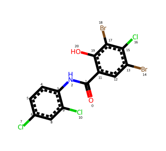 O=C(Nc1ccc(Cl)cc1Cl)c1cc(Br)c(Cl)c(Br)c1O